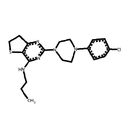 CCCNc1nc(N2CCN(c3ccc(Cl)cc3)CC2)nc2c1SCC2